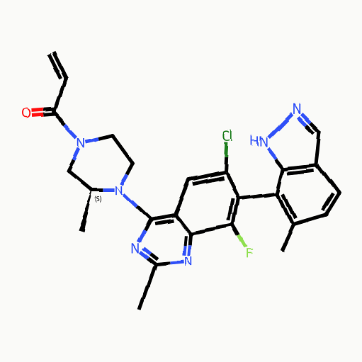 C=CC(=O)N1CCN(c2nc(C)nc3c(F)c(-c4c(C)ccc5cn[nH]c45)c(Cl)cc23)[C@@H](C)C1